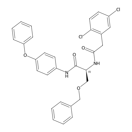 O=C(Cc1cc(Cl)ccc1Cl)N[C@@H](COCc1ccccc1)C(=O)Nc1ccc(Oc2ccccc2)cc1